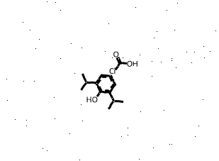 CC(C)c1cccc(C(C)C)c1O.O=C(O)Cl